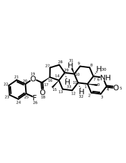 C[C@]12C=CC(=O)N[C@@H]1CC[C@@H]1[C@@H]2CC[C@]2(C)[C@@H](C(=O)Oc3ccccc3F)CC[C@@H]12